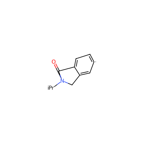 CC(C)N1Cc2c[c]ccc2C1=O